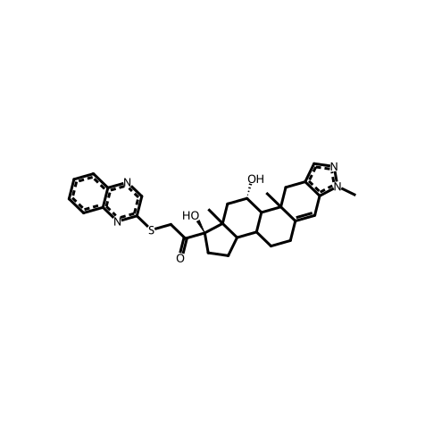 Cn1ncc2c1C=C1CCC3C([C@@H](O)CC4(C)C3CC[C@]4(O)C(=O)CSc3cnc4ccccc4n3)C1(C)C2